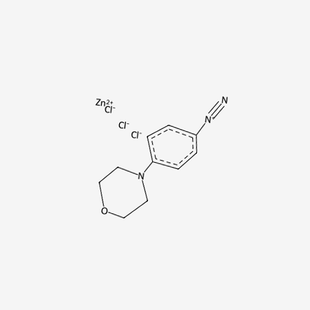 N#[N+]c1ccc(N2CCOCC2)cc1.[Cl-].[Cl-].[Cl-].[Zn+2]